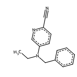 CCN(Cc1ccccc1)c1ccc(C#N)nc1